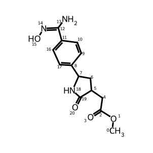 COC(=O)CC1CC(c2ccc(/C(N)=N\O)cc2)NC1=O